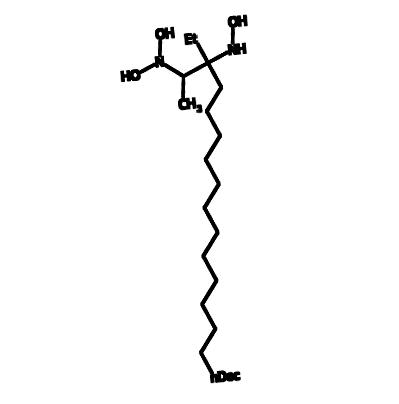 CCCCCCCCCCCCCCCCCCCCCCC(CC)(NO)C(C)N(O)O